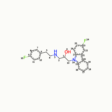 OC(CNCCc1ccc(F)cc1)Cn1c2ccccc2c2cc(F)ccc21